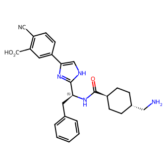 N#Cc1ccc(-c2c[nH]c([C@H](Cc3ccccc3)NC(=O)[C@H]3CC[C@H](CN)CC3)n2)cc1C(=O)O